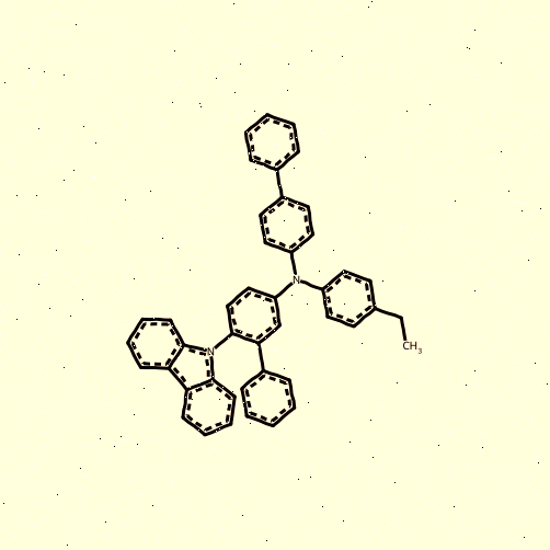 CCc1ccc(N(c2ccc(-c3ccccc3)cc2)c2ccc(-n3c4ccccc4c4ccccc43)c(-c3ccccc3)c2)cc1